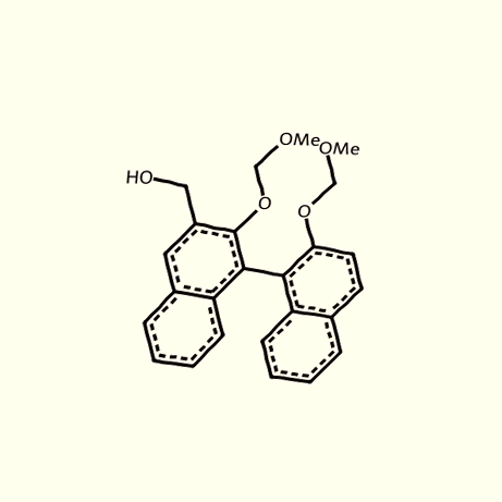 COCOc1ccc2ccccc2c1-c1c(OCOC)c(CO)cc2ccccc12